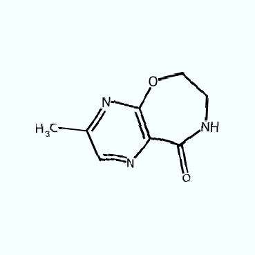 Cc1cnc2c(n1)OCCNC2=O